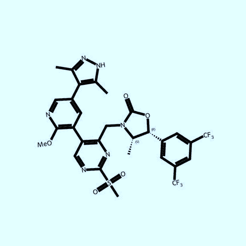 COc1ncc(-c2c(C)n[nH]c2C)cc1-c1cnc(S(C)(=O)=O)nc1CN1C(=O)O[C@H](c2cc(C(F)(F)F)cc(C(F)(F)F)c2)[C@@H]1C